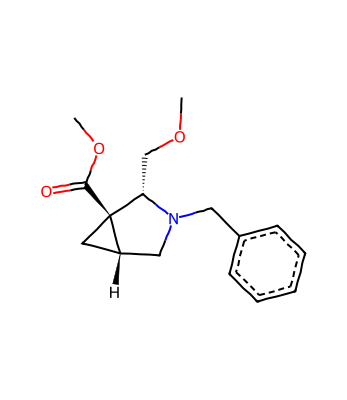 COC[C@@H]1N(Cc2ccccc2)C[C@@H]2C[C@@]21C(=O)OC